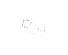 CC(C)(C)N1CCc2[nH]ncc2C1